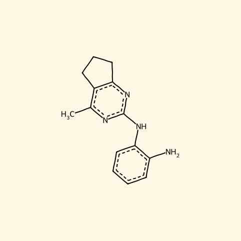 Cc1nc(Nc2ccccc2N)nc2c1CCC2